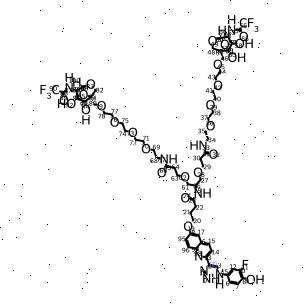 N=N/C(=C\Nc1ccc(O)c(F)c1)c1ccc2cc(OCCCC(=O)NC(COCCC(=O)NCCOCCOCCOCCOC[C@@]34CO[C@@H](O3)[C@H](NC(=O)C(F)(F)F)[C@@H](O)[C@H]4O)COCCC(=O)NCCOCCOCCOCCOC[C@@]34CO[C@@H](O3)[C@H](NC(=O)C(F)(F)F)[C@@H](O)[C@H]4O)ccc2n1